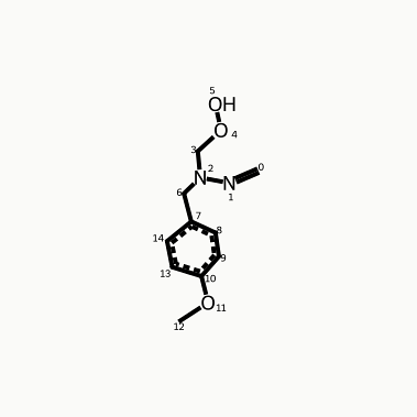 C=NN(COO)Cc1ccc(OC)cc1